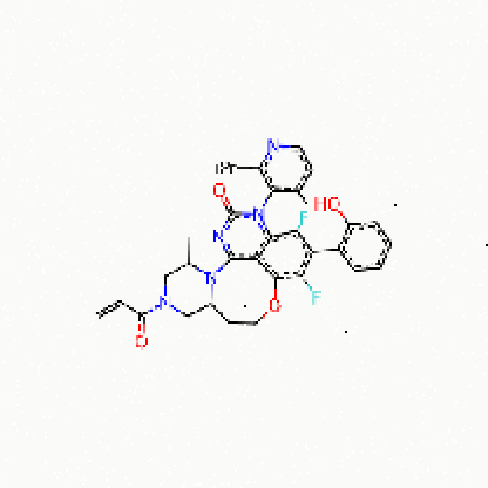 C=CC(=O)N1CC(C)N2c3nc(=O)n(-c4c(C)ccnc4C(C)C)c4c(F)c(-c5ccccc5O)c(F)c(c34)OCCC2C1